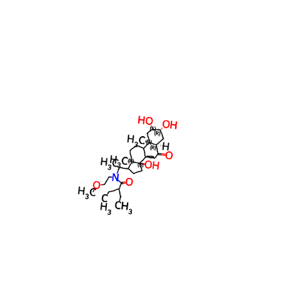 CCC(CC)C(=O)N(CCOC)C(C)C1CC[C@@]2(O)C3=CC(=O)[C@@H]4C[C@@H](O)[C@@H](O)C[C@]4(C)C3CC[C@]12C